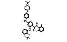 Cc1cccc(C)c1NC(=O)c1cnc(Nc2ccc(N3CCN(C(C)C)CC3)cc2)nc1Oc1cccc2c1OC(C)(C)C2